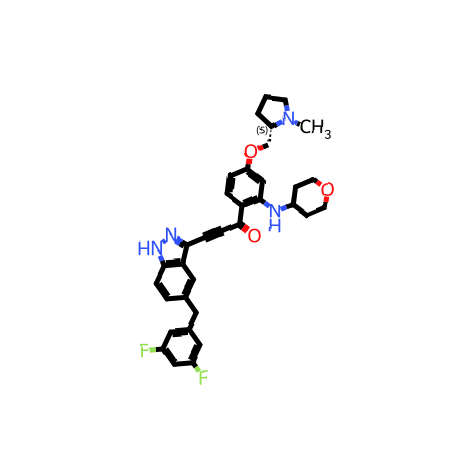 CN1CCC[C@H]1COc1ccc(C(=O)C#Cc2n[nH]c3ccc(Cc4cc(F)cc(F)c4)cc23)c(NC2CCOCC2)c1